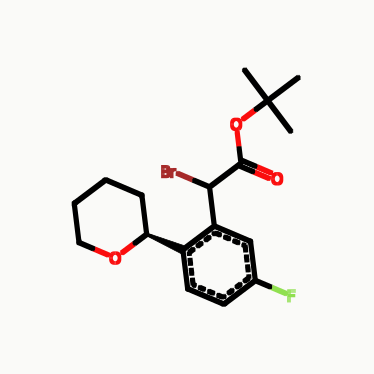 CC(C)(C)OC(=O)C(Br)c1cc(F)ccc1[C@@H]1CCCCO1